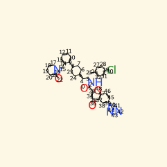 O=C(N[C@H](C=C1CCC(c2ccccc2CN2CCCCC2=O)CC1)Cc1ccc(Cl)cc1)c1cc(=O)c2cc(-n3cncn3)ccc2o1